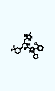 Cc1nnc(C[C@H](CCN2CCCC(F)(F)C2)NC(=O)c2cc(-c3ccccc3Cl)n(C3CCCC3)n2)[nH]1